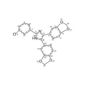 Clc1cccc(-c2nc(-c3ccc4c(c3)OCO4)c(-c3ccc4c(c3)OCO4)[nH]2)c1